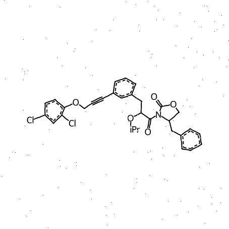 CC(C)OC(Cc1cccc(C#CCOc2ccc(Cl)cc2Cl)c1)C(=O)N1C(=O)OCC1Cc1ccccc1